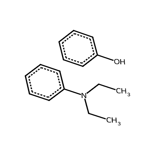 CCN(CC)c1ccccc1.Oc1ccccc1